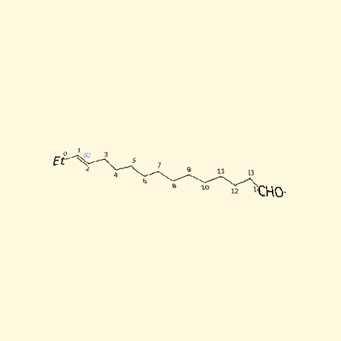 CC/C=C/CCCCCCCCCCC[C]=O